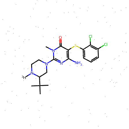 [2H]N1CCN(c2nc(N)c(Sc3cccc(Cl)c3Cl)c(=O)n2C)CC1C(C)(C)C